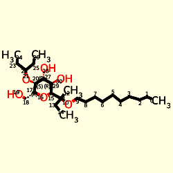 CCCCCCCCCCOC(C)(CC)C1O[C@H](CO)[C@@H](OC(CC)CC)[C@H](O)[C@H]1O